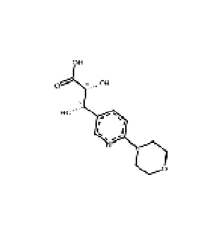 O=C(O)[C@H](O)[C@@H](O)c1ccc(N2CCOCC2)nc1